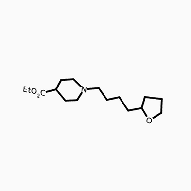 CCOC(=O)C1CCN(CCCCC2CCCO2)CC1